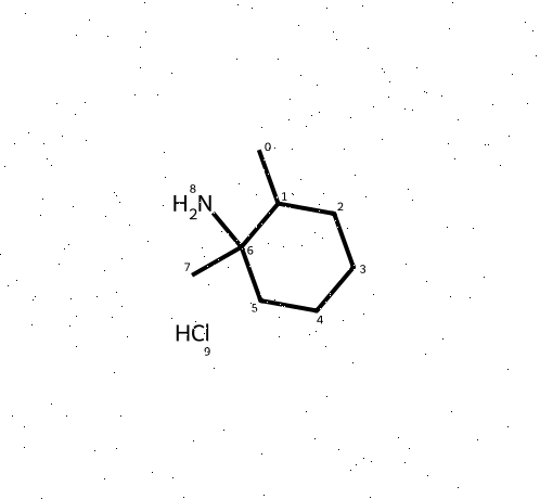 CC1CCCCC1(C)N.Cl